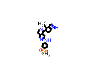 C=Cc1c(-c2nccc3cnc(Nc4ccc(S(C)(=O)=O)cc4)cc23)ccc2[nH]ncc12